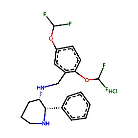 Cl.FC(F)Oc1ccc(OC(F)F)c(CN[C@H]2CCCN[C@H]2c2ccccc2)c1